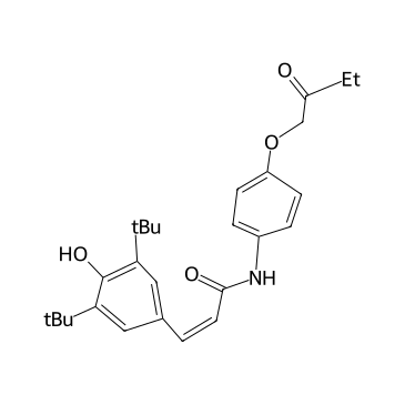 CCC(=O)COc1ccc(NC(=O)/C=C\c2cc(C(C)(C)C)c(O)c(C(C)(C)C)c2)cc1